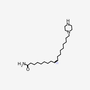 NC(=O)CCCCCCC/C=C\CCCCCCCCN1CCNCC1